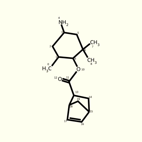 CC1CC(N)CC(C)(C)C1OC(=O)C1CC2C=CC1C2